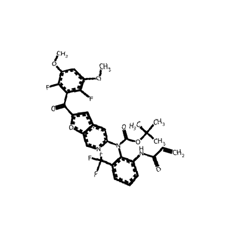 C=CC(=O)Nc1cccc(C(F)(F)F)c1N(C(=O)OC(C)(C)C)c1cc2cc(C(=O)c3c(F)c(OC)cc(OC)c3F)oc2cn1